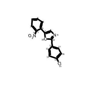 O=[N+]([O-])c1ccccc1-c1[c]nc(-c2ccc(Cl)cc2)o1